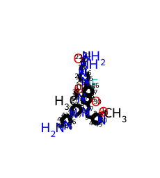 COc1cc(CN(Cc2cn3c4c(c(N5CCN(CNC(N)=O)CC5)c(F)cc4c2=O)OC[C@@H]3C)[C@H]2CCCN(c3ccc(N)nc3)C2)ccn1